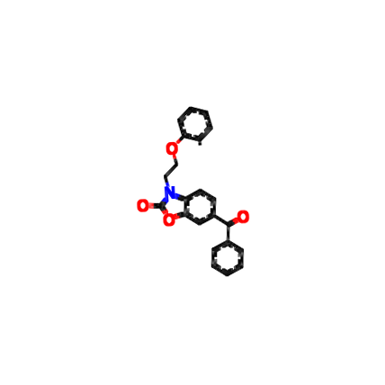 O=C(c1ccccc1)c1ccc2c(c1)oc(=O)n2CCOc1[c]cccc1